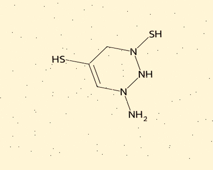 NN1C=C(S)CN(S)N1